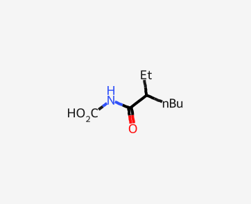 CCCCC(CC)C(=O)NC(=O)O